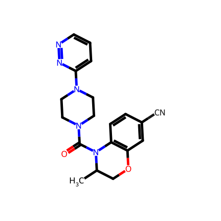 CC1COc2cc(C#N)ccc2N1C(=O)N1CCN(c2cccnn2)CC1